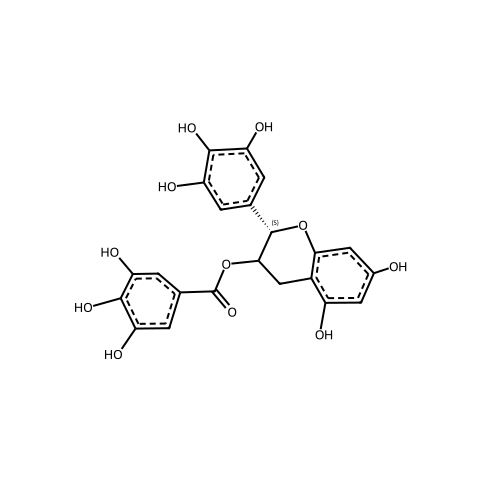 O=C(OC1Cc2c(O)cc(O)cc2O[C@H]1c1cc(O)c(O)c(O)c1)c1cc(O)c(O)c(O)c1